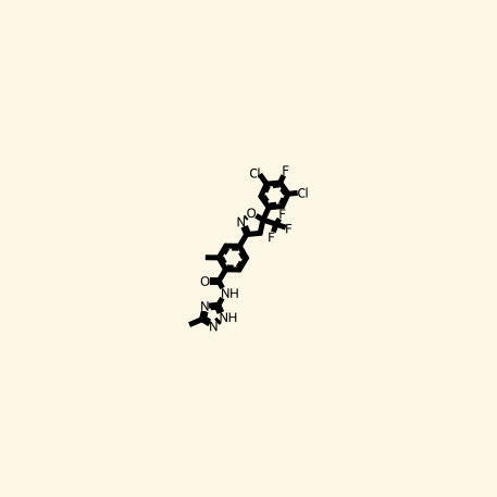 Cc1n[nH]c(NC(=O)c2ccc(C3=NOC(c4cc(Cl)c(F)c(Cl)c4)(C(F)(F)F)C3)cc2C)n1